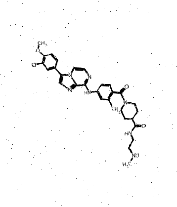 CNCCNC(=O)C1CCN(C(=O)c2ccc(Nc3nccn4c(-c5ccc(OC)c(Cl)c5)cnc34)cc2C)CC1